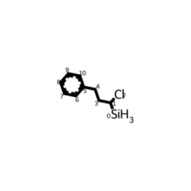 [SiH3]C(Cl)CCc1ccccc1